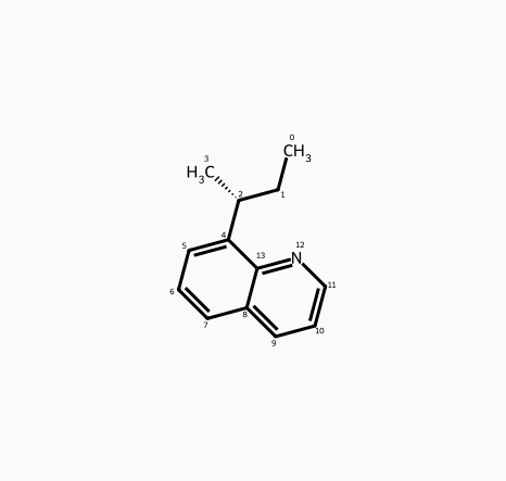 CC[C@@H](C)c1cccc2cccnc12